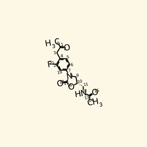 CC(=O)Cc1ccc(N2C[C@H](CNC(C)=O)OC2=O)cc1F